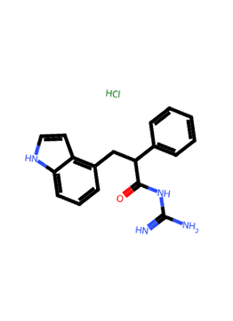 Cl.N=C(N)NC(=O)C(Cc1cccc2[nH]ccc12)c1ccccc1